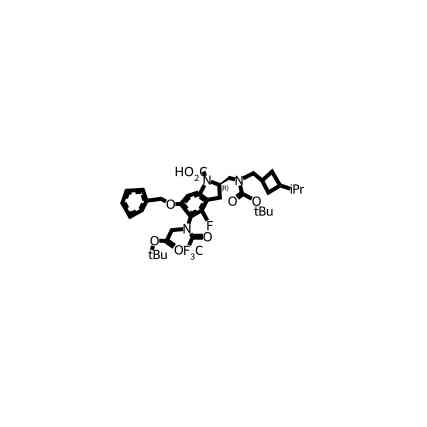 CC(C)C1CC(CN(C[C@H]2Cc3c(cc(OCc4ccccc4)c(N(CC(=O)OC(C)(C)C)C(=O)C(F)(F)F)c3F)N2C(=O)O)C(=O)OC(C)(C)C)C1